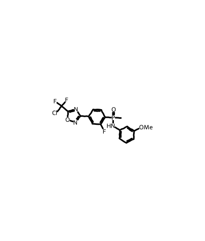 COc1cccc(NP(C)(=O)c2ccc(-c3noc(C(F)(F)Cl)n3)cc2F)c1